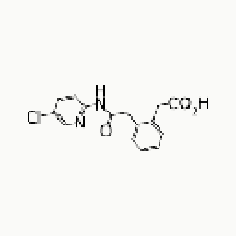 O=C(O)Cc1ccccc1CC(=O)Nc1ccc(Cl)cn1